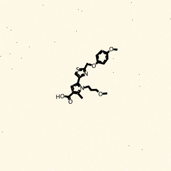 COCCCn1c(-c2csc(COc3ccc(OC)cc3)n2)cc(C(=O)O)c1C